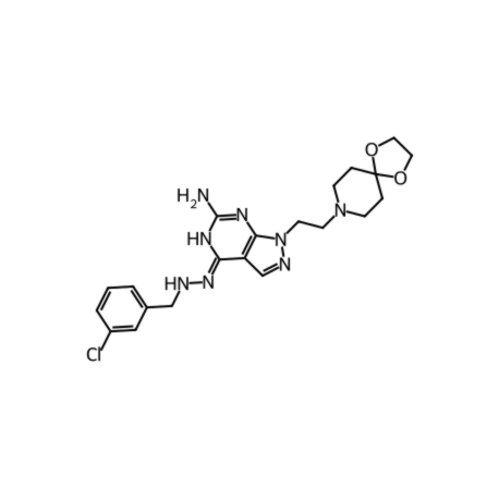 Nc1nc2c(cnn2CCN2CCC3(CC2)OCCO3)/c(=N/NCc2cccc(Cl)c2)[nH]1